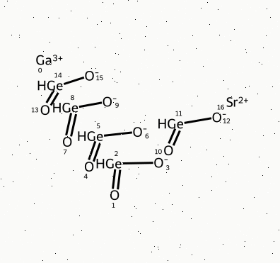 [Ga+3].[O]=[GeH][O-].[O]=[GeH][O-].[O]=[GeH][O-].[O]=[GeH][O-].[O]=[GeH][O-].[Sr+2]